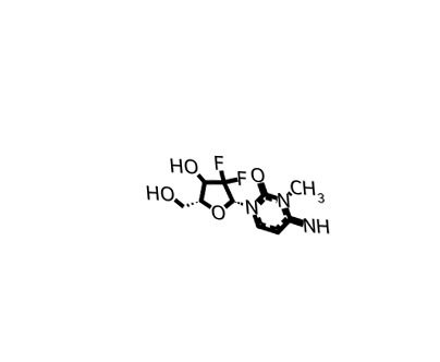 Cn1c(=N)ccn([C@@H]2O[C@H](CO)C(O)C2(F)F)c1=O